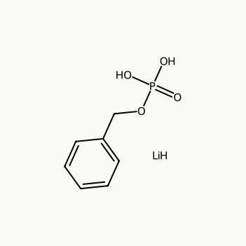 O=P(O)(O)OCc1ccccc1.[LiH]